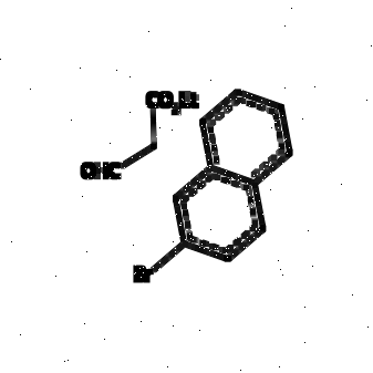 Brc1ccc2ccccc2c1.CCOC(=O)CC=O